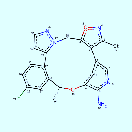 CCc1noc2c1-c1cnc(N)c(c1)O[C@H](C)c1cc(F)ccc1-c1ccnn1C2